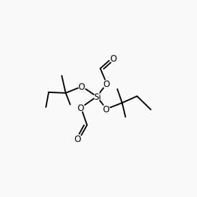 CCC(C)(C)O[Si](OC=O)(OC=O)OC(C)(C)CC